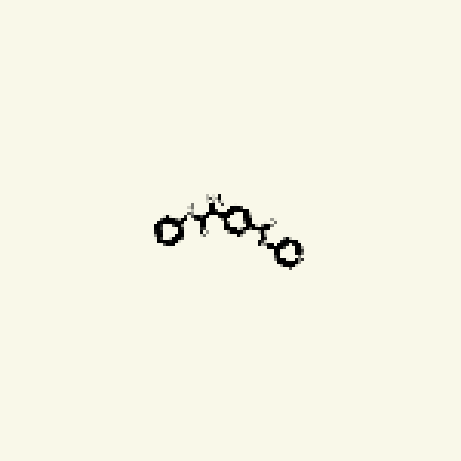 NC(C(=O)Nc1ccccc1)c1ccc(C(=O)Nc2ccncc2)cc1